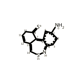 Nc1ccc2c(c1)=C1C(=S)CC=CC1=CSN=2